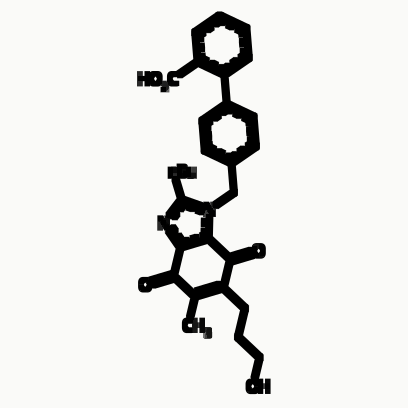 CCCCc1nc2c(n1Cc1ccc(-c3ccccc3C(=O)O)cc1)C(=O)C(CCCO)=C(C)C2=O